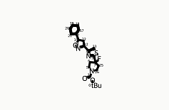 CC(C)(C)OC(=O)N1CCC(F)(c2nc(C3=NOC(c4ccccc4)C3)cs2)CC1